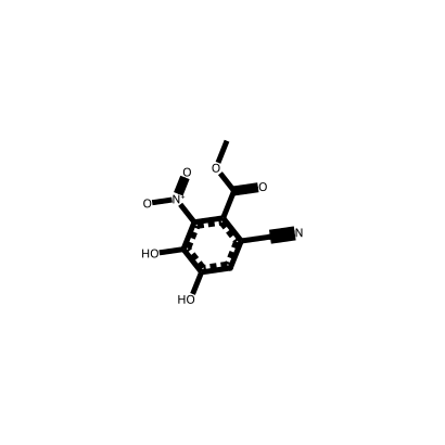 COC(=O)c1c(C#N)cc(O)c(O)c1[N+](=O)[O-]